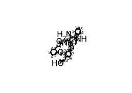 COc1ccccc1CCC(=O)NCC(C(=O)COc1ccc(CCO)cc1)C(N)c1c[nH]c2ccccc12